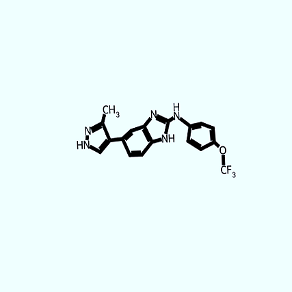 Cc1n[nH]cc1-c1ccc2[nH]c(Nc3ccc(OC(F)(F)F)cc3)nc2c1